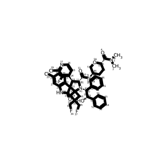 CN(C)C(=O)[C@@H]1CC[C@@H](NC(=O)[C@H]2[C@H](c3ccnc(Cl)c3F)C3(C(=O)Nc4cc(Cl)ccc43)C3(CC(CF)(CF)C3)N2[C@H](c2ccccc2)[C@@H](O)c2ccccc2)CO1